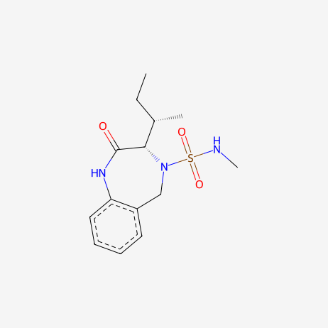 CC[C@H](C)[C@H]1C(=O)Nc2ccccc2CN1S(=O)(=O)NC